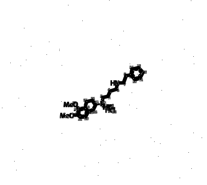 CCCN(CCCCNCCc1ccccc1)[C@H]1CCc2c(ccc(OC)c2OC)C1.Cl.Cl